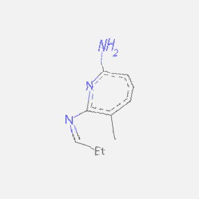 CC/C=N\c1nc(N)ccc1C